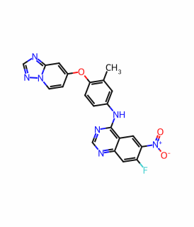 Cc1cc(Nc2ncnc3cc(F)c([N+](=O)[O-])cc23)ccc1Oc1ccn2ncnc2c1